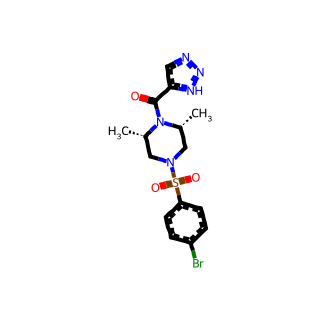 C[C@@H]1CN(S(=O)(=O)c2ccc(Br)cc2)C[C@H](C)N1C(=O)c1cnn[nH]1